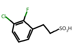 O=S(=O)(O)CCc1cccc(Cl)c1F